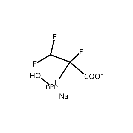 CC[CH]O.O=C([O-])C(F)(F)C(F)F.[Na+]